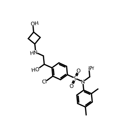 Cc1ccc(N(CC(C)C)S(=O)(=O)c2ccc(C(O)CNC3CC(O)C3)c(Cl)c2)c(C)c1